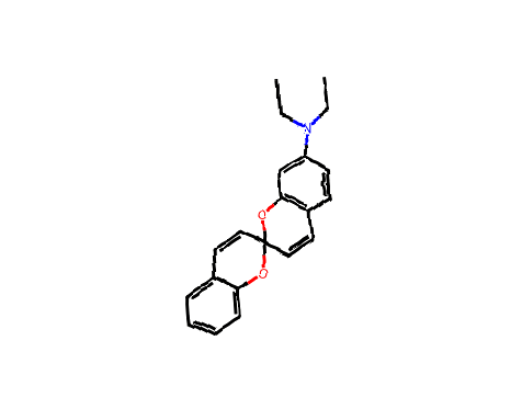 CCN(CC)c1ccc2c(c1)OC1(C=Cc3ccccc3O1)C=C2